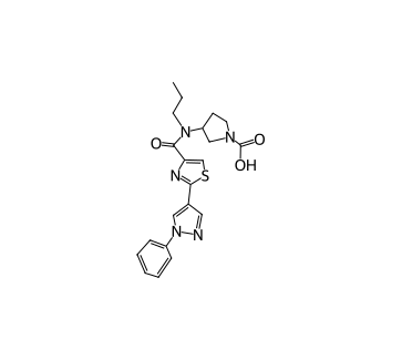 CCCN(C(=O)c1csc(-c2cnn(-c3ccccc3)c2)n1)C1CCN(C(=O)O)C1